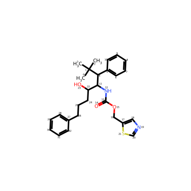 CC(C)(C)C(c1ccccc1)C(NC(=O)OCc1cncs1)C(O)CCCc1ccccc1